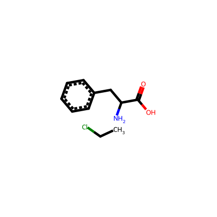 CCCl.NC(Cc1ccccc1)C(=O)O